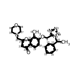 Cc1c(OCc2nnnn2C(C)c2ccccc2)ccc2c(=O)cc(CN3CCOCC3)oc12